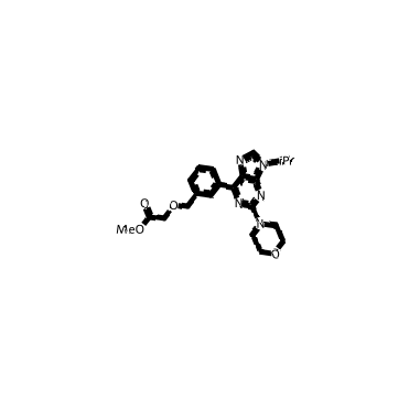 COC(=O)COCc1cccc(-c2nc(N3CCOCC3)nc3c2ncn3C(C)C)c1